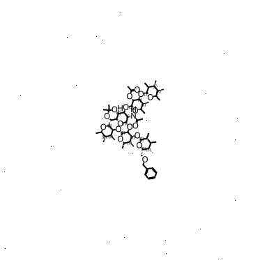 CC(=O)N[C@H]1C(O[C@@H]2OC(C)[C@H](C)[C@H](O[C@@H]3OC(C)[C@H](C)[C@H](C)C3C)C2OC(C)=O)[C@@H]2OC(C)(C)OCC2O[C@H]1OC1[C@H](OC2[C@H](C)OC(C)[C@H](C)[C@@H]2C)OC(C)[C@H](C)[C@@H]1O[C@H]1O[C@@H](COCc2ccccc2)[C@@H](C)C(C)C1C